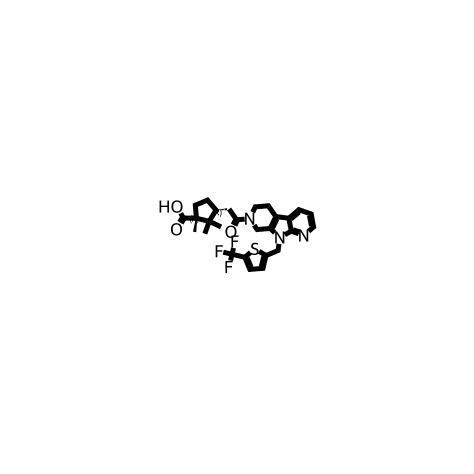 CC1(C)[C@@H](CC(=O)N2CCc3c(n(Cc4ccc(C(F)(F)F)s4)c4ncccc34)C2)CC[C@@]1(C)C(=O)O